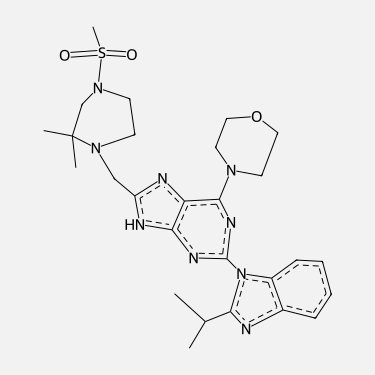 CC(C)c1nc2ccccc2n1-c1nc(N2CCOCC2)c2nc(CN3CCN(S(C)(=O)=O)CC3(C)C)[nH]c2n1